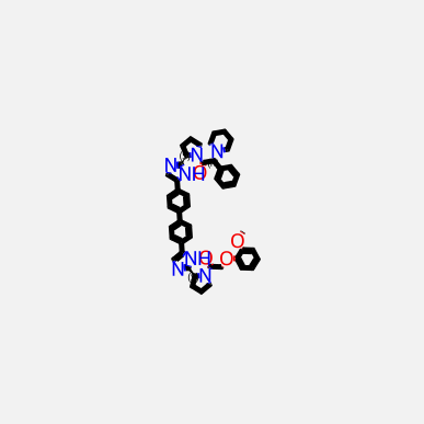 COc1ccccc1OCC(=O)N1CCC[C@H]1c1ncc(-c2ccc(-c3ccc(C4CN=C([C@@H]5CCCN5C(=O)[C@@H](c5ccccc5)N5CCCCC5)N4)cc3)cc2)[nH]1